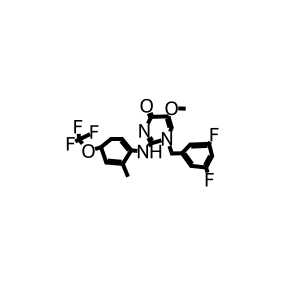 COc1cn(Cc2cc(F)cc(F)c2)c(NC2=CCC(OC(F)(F)F)C=C2C)nc1=O